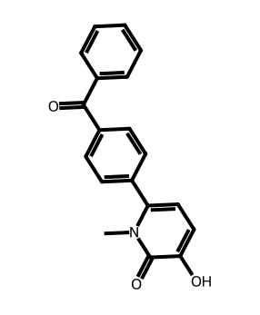 Cn1c(-c2ccc(C(=O)c3ccccc3)cc2)ccc(O)c1=O